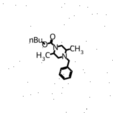 CCCCOC(=O)N1CC(C)N(Cc2ccccc2)CC1C